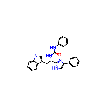 O=C(Nc1ccccc1)NC(Cc1c[nH]c2ccccc12)c1nc(-c2ccccc2)c[nH]1